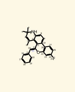 CC1=CC(C)(C)Nc2ccc3c(c21)/C(=C/c1ccccc1)Oc1cc(F)ccc1-3